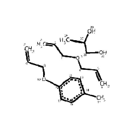 C=CCOCC=C.C=CCOc1ccc(C)cc1.CC(O)CO